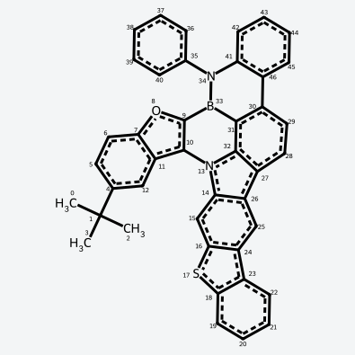 CC(C)(C)c1ccc2oc3c(c2c1)-n1c2cc4sc5ccccc5c4cc2c2ccc4c(c21)B3N(c1ccccc1)c1ccccc1-4